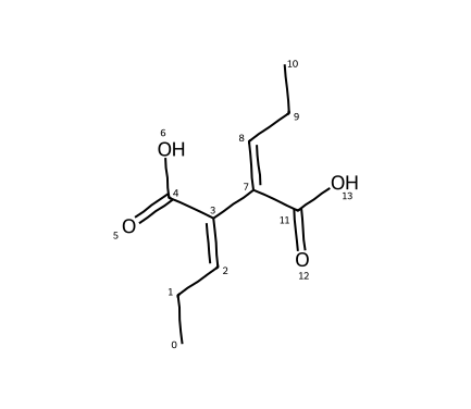 CCC=C(C(=O)O)C(=CCC)C(=O)O